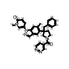 Cc1cc2c(cnn2-c2ccc(=O)n(C)c2)cc1C1(Cc2ccccc2)CCN(C(=O)c2ccnnc2)C1